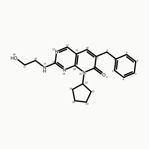 O=c1c(Cc2ccccc2)cc2cnc(NCCO)nc2n1C1CCCC1